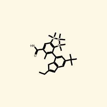 CCC1=Cc2cc(C(C)(C)C)cc(-c3c(C)c(C([NH])=O)cc4c3[Si](C)(C)[Si](C)(C)[Si]4(C)C)c2C1